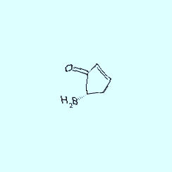 B[C@H]1CC=CC1=O